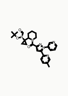 Cc1ccc(-c2cc(C(=O)N3CCCCC3C3(N(C=O)OC(C)(C)C)CC3)nn2-c2cccnc2)nc1